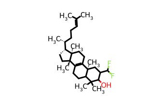 CC(C)=CCC[C@@H](C)[C@H]1CC[C@@]2(C)C3=C(CC[C@]12C)[C@@]1(C)CC(C(F)F)C(O)C(C)(C)C1CC3